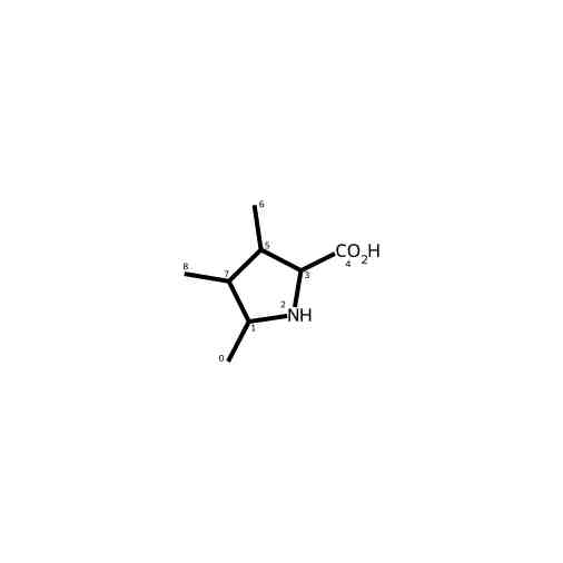 CC1NC(C(=O)O)C(C)C1C